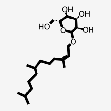 CC(=CCOC1O[C@H](CO)[C@@H](O)[C@H](O)[C@H]1O)CCCC(C)CCCC(C)C